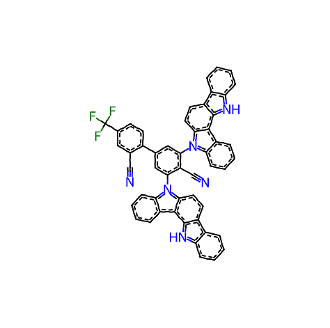 N#Cc1cc(C(F)(F)F)ccc1-c1cc(-n2c3ccccc3c3c4[nH]c5ccccc5c4ccc32)c(C#N)c(-n2c3ccccc3c3c4[nH]c5ccccc5c4ccc32)c1